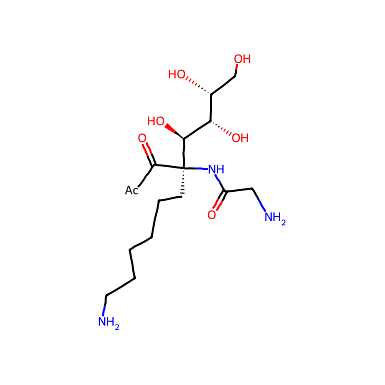 CC(=O)C(=O)[C@](CCCCCCN)(NC(=O)CN)[C@@H](O)[C@@H](O)[C@H](O)CO